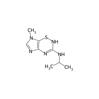 CC(C)NC1=Nc2ncn(C)c2SN1